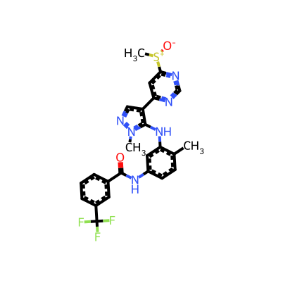 Cc1ccc(NC(=O)c2cccc(C(F)(F)F)c2)cc1Nc1c(-c2cc([S+](C)[O-])ncn2)cnn1C